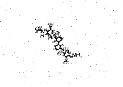 Cc1c(NC(=O)c2cc(C3CC3)c(CN)cn2)cccc1-c1cccc(NC(=O)c2cc(C3CC3)c(CNC3COC3)cn2)c1C